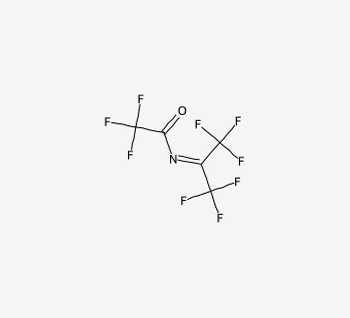 O=C(N=C(C(F)(F)F)C(F)(F)F)C(F)(F)F